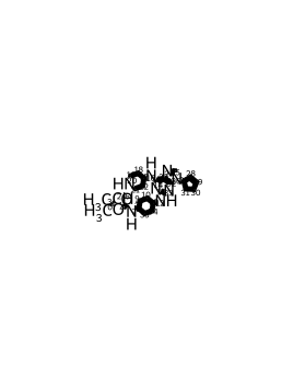 CC(C)(C)OC(=O)NC1CCC(Nc2nc(NC3CCNCC3)c3ncn(C4C=CCC4)c3n2)CC1